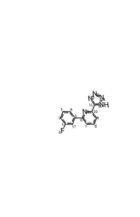 Fc1cccc(-c2c[c]cc(-c3nnn[nH]3)n2)c1